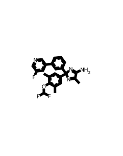 CC1=NC(c2cccc(-c3cncc(F)c3)c2)(c2cc(C)c(OC(F)F)c(C)c2)N=C1N